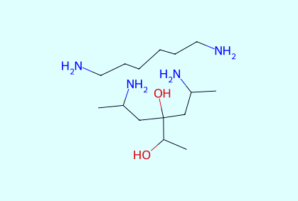 CC(N)CC(O)(CC(C)N)C(C)O.NCCCCCCN